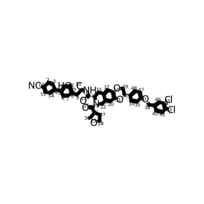 N#Cc1ccc(-c2ccc(CC(NC(=O)[C@@H]3Cc4cc5c(cc4CN3C(=O)C3CCOC3)O[C@@H](c3ccc(OCc4ccc(Cl)c(Cl)c4)cc3)CO5)C(=O)O)cc2)cc1